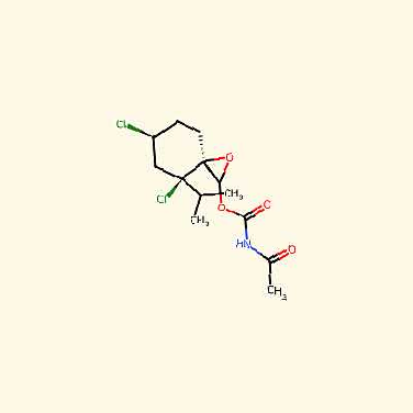 CC(=O)NC(=O)OC1O[C@@]12CC[C@H](Cl)C[C@@]2(Cl)C(C)C